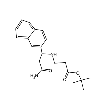 CC(C)(C)OC(=O)CCNC(CC(N)=O)c1ccc2ccccc2c1